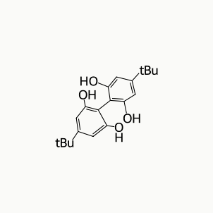 CC(C)(C)c1cc(O)c(-c2c(O)cc(C(C)(C)C)cc2O)c(O)c1